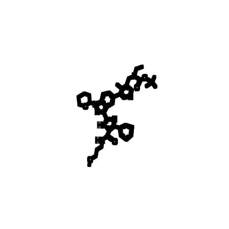 CCN(Cc1cncc(-c2ccc3c(c2)c(-c2nc(-c4ccccc4)c(C(=O)NCCCOC)[nH]2)nn3C2CCCCO2)c1C)C(=O)OC(C)(C)C